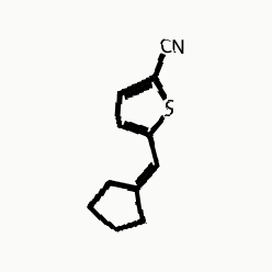 N#Cc1ccc(C=C2CCCC2)s1